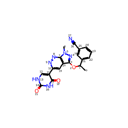 CC(Oc1nn(C)c2nnc(-c3c[nH]c(=O)[nH]c3=O)cc12)c1cccc(C#N)c1